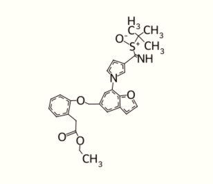 CCOC(=O)Cc1ccccc1OCc1cc(-n2ccc(C(=N)[S+]([O-])C(C)(C)C)c2)c2occc2c1